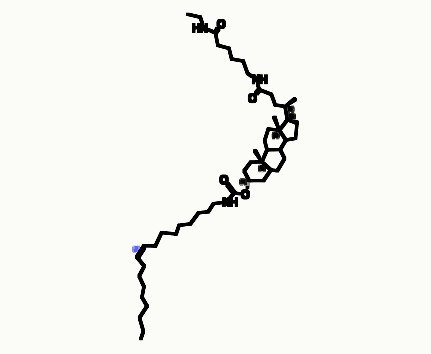 CCCCCCCC/C=C\CCCCCCCCNC(=O)O[C@@H]1CC[C@@]2(C)C(CCC3C2CC[C@@]2(C)C3CC[C@@H]2[C@H](C)CCC(=O)NCCCCCC(=O)NCC)C1